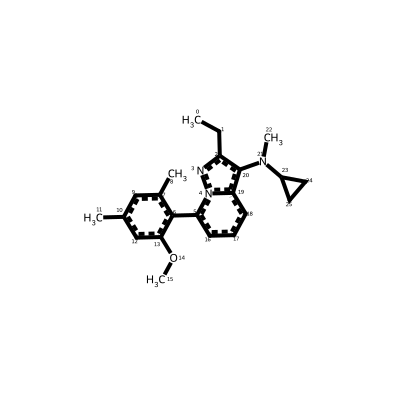 CCc1nn2c(-c3c(C)cc(C)cc3OC)cccc2c1N(C)C1CC1